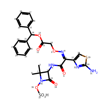 CC1(C)C(NC(=O)/C(=N\OCC(=O)OC(c2ccccc2)c2ccccc2)c2csc(N)n2)C(=O)N1OS(=O)(=O)O